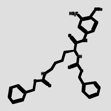 COc1ccc(NC(=O)[C@H](CCCCNC(=O)OCc2ccccc2)NC(=O)OCc2ccccc2)cc1C(=O)O